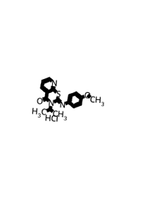 COc1ccc(/N=c2\sc3ncccc3c(=O)n2C(C)C)cc1.Cl